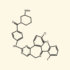 CNC1CCCN(C(=O)c2ccc(Nc3ncc4c(n3)-c3ccc(Cl)cc3C(c3c(F)cccc3OC)=NC4)cc2)C1